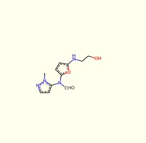 Cn1nccc1N(C=O)c1ccc(NCCO)o1